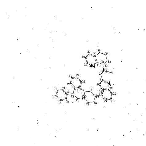 CN(Cc1cn2c(N3CCN(CC(c4ccccc4)c4ccccc4)CC3)nccc2n1)[C@H]1CCCc2cccnc21